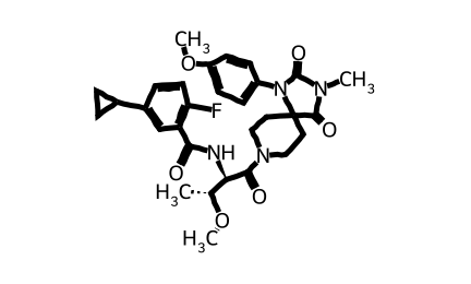 COc1ccc(N2C(=O)N(C)C(=O)C23CCN(C(=O)[C@H](NC(=O)c2cc(C4CC4)ccc2F)[C@@H](C)OC)CC3)cc1